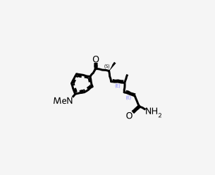 CNc1ccc(C(=O)[C@@H](C)/C=C(C)/C=C/C(N)=O)cc1